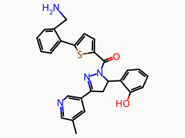 Cc1cncc(C2=NN(C(=O)c3ccc(-c4ccccc4CN)s3)C(c3ccccc3O)C2)c1